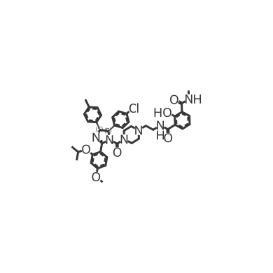 CNC(=O)c1cccc(C(=O)NCCN2CCN(C(=O)N3C(c4ccc(OC)cc4OC(C)C)=N[C@@H](c4ccc(C)cc4)[C@H]3c3ccc(Cl)cc3)CC2)c1O